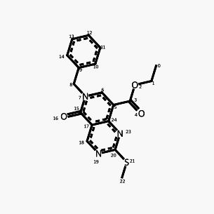 CCOC(=O)c1cn(Cc2ccccc2)c(=O)c2cnc(SC)nc12